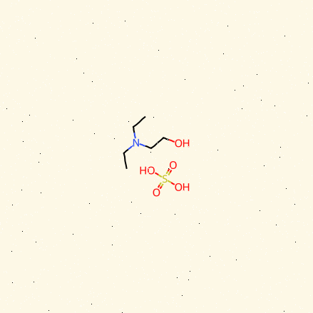 CCN(CC)CCO.O=S(=O)(O)O